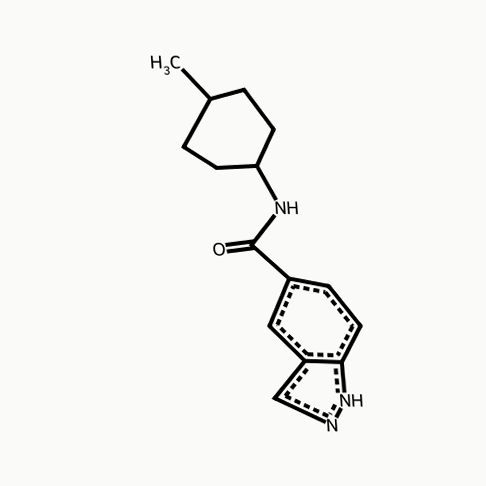 CC1CCC(NC(=O)c2ccc3[nH]ncc3c2)CC1